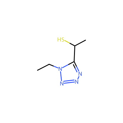 CCn1nnnc1C(C)S